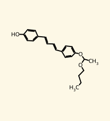 CCCCOC(C)Oc1ccc(C=CC=Cc2ccc(O)cc2)cc1